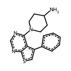 NC1CCN(c2ncnc3scc(-c4ccccc4)c23)CC1